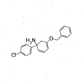 NC1(c2ccc(Cl)cc2)C=CC=C(OCc2ccccc2)C1